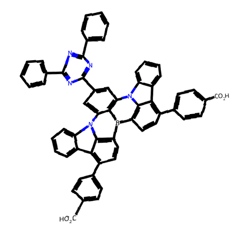 O=C(O)c1ccc(-c2ccc3c4c2c2ccccc2n4-c2cc(-c4nc(-c5ccccc5)nc(-c5ccccc5)n4)cc4c2B3c2ccc(-c3ccc(C(=O)O)cc3)c3c5ccccc5n-4c23)cc1